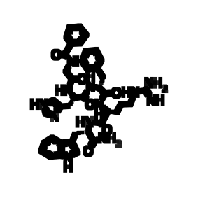 N=C(N)NCCC[C@H](NC(=O)[C@@H](Cc1ccccc1)NC(=O)[C@H](Cc1c[nH]cn1)NC(=O)CNC(=O)c1ccccc1)C(=O)N[C@@H](Cc1c[nH]c2ccccc12)C(N)=O